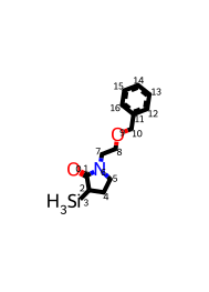 O=C1C([SiH3])CCN1CCOCc1ccccc1